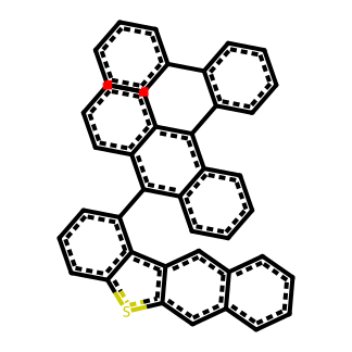 c1ccc(-c2ccccc2-c2c3ccccc3c(-c3cccc4sc5cc6ccccc6cc5c34)c3ccccc23)cc1